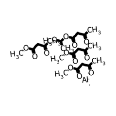 CC(=O)CC(=O)OC(C)C.COC(=O)CC(C)=O.COC(=O)CC(C)=O.COC(=O)CC(C)=O.[Al]